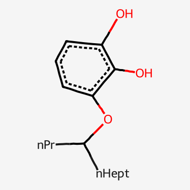 CCCCCCCC(CCC)Oc1cccc(O)c1O